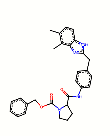 Cc1ccc2[nH]c(Cc3ccc(NC(=O)C4CCCN4C(=O)OCc4ccccc4)cc3)nc2c1C